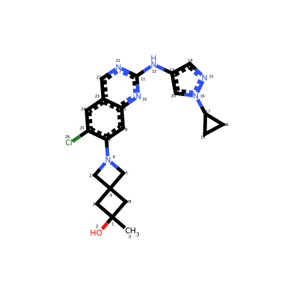 CC1(O)CC2(CN(c3cc4nc(Nc5cnn(C6CC6)c5)ncc4cc3Cl)C2)C1